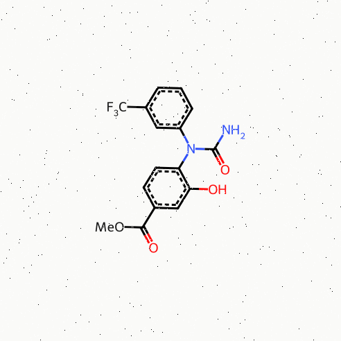 COC(=O)c1ccc(N(C(N)=O)c2cccc(C(F)(F)F)c2)c(O)c1